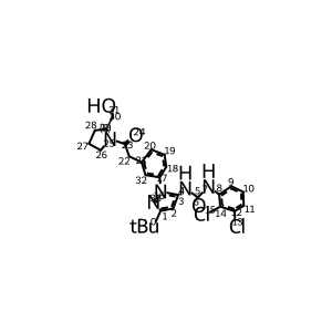 CC(C)(C)c1cc(NC(=O)Nc2cccc(Cl)c2Cl)n(-c2cccc(CC(=O)N3CCC[C@H]3CO)c2)n1